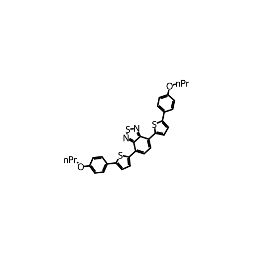 CCCOc1ccc(-c2ccc(-c3ccc(-c4ccc(-c5ccc(OCCC)cc5)s4)c4nsnc34)s2)cc1